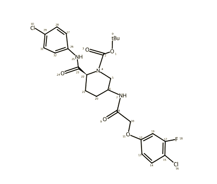 CC(C)(C)OC(=O)N1CC(NC(=O)COc2ccc(Cl)c(F)c2)CC[C@H]1C(=O)Nc1ccc(Cl)cc1